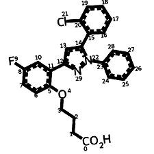 O=C(O)CCCOc1ccc(F)cc1-c1cc(-c2ccccc2Cl)n(-c2ccccc2)n1